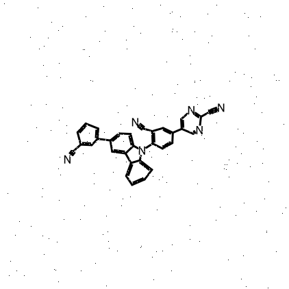 N#Cc1cccc(-c2ccc3c(c2)c2ccccc2n3-c2ccc(-c3cnc(C#N)nc3)cc2C#N)c1